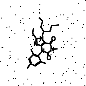 CCCC(CCC)n1c(CC)nc2c1c(=O)n(C)c(=O)n2-c1c(C)cc(C)cc1C